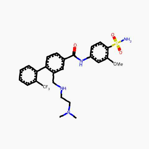 COc1cc(NC(=O)c2ccc(-c3ccccc3C(F)(F)F)c(CNCCN(C)C)c2)ccc1S(N)(=O)=O